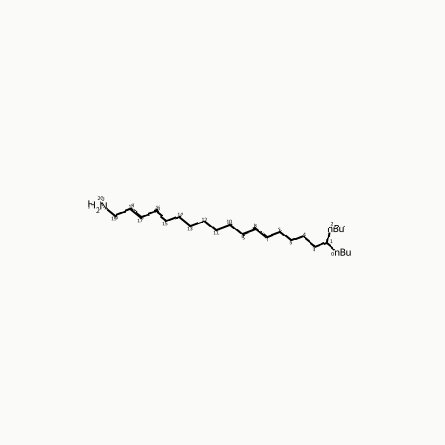 CCCCC(CCCC)CCCCCCCCCCCCCCCCCN